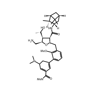 CNC(=O)C1=CC(N(C)C)CC(c2cccc(CN3O[C@@H](CN)[C@@H]([C@H](C)O)[C@H]3C(=O)N[C@H]3C[C@H]4C[C@@H]([C@@H]3C)C4(C)C)c2OC)=C1